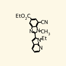 CCOC(=O)c1cc(C#N)c2c(c1)nc(-c1cc3cccnc3n1CC)n2C